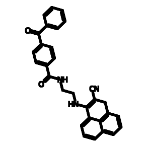 N#CC1=C(NCCNC(=O)c2ccc(C(=O)c3ccccc3)cc2)c2cccc3cccc(c23)C1